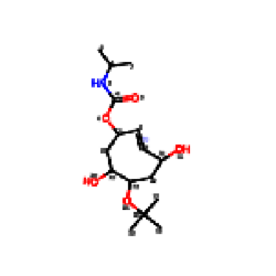 CC(C)NC(=O)OC1/C=C/C(O)CC(OC(C)(C)C)C(O)C1